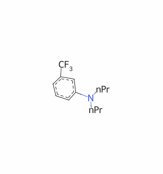 CCCN(CCC)c1cccc(C(F)(F)F)c1